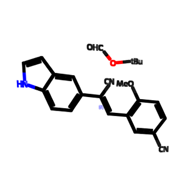 CC(C)(C)OC=O.COc1ccc(C#N)cc1/C=C(\C#N)c1ccc2[nH]ccc2c1